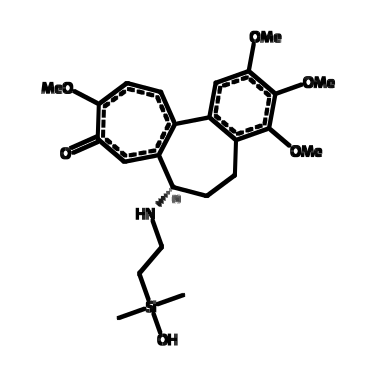 COc1cc2c(c(OC)c1OC)CC[C@H](NCC[Si](C)(C)O)c1cc(=O)c(OC)ccc1-2